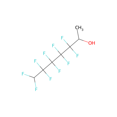 CC(O)C(F)(F)C(F)(F)C(F)(F)C(F)(F)C(F)F